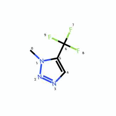 Cn1nncc1C(F)(F)F